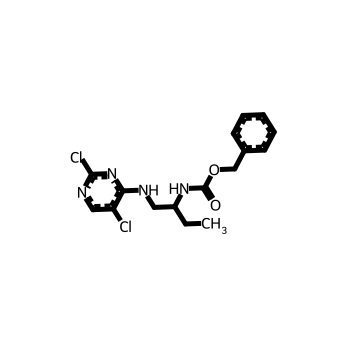 CCC(CNc1nc(Cl)ncc1Cl)NC(=O)OCc1ccccc1